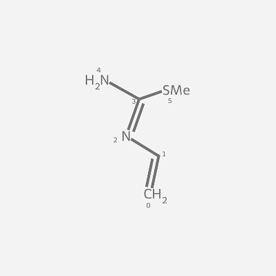 C=C/N=C(/N)SC